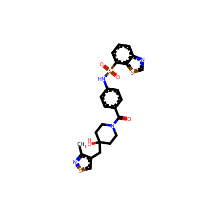 Cc1nscc1CC1(O)CCN(C(=O)c2ccc(NS(=O)(=O)c3cccc4ncsc34)cc2)CC1